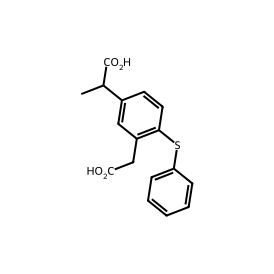 CC(C(=O)O)c1ccc(Sc2ccccc2)c(CC(=O)O)c1